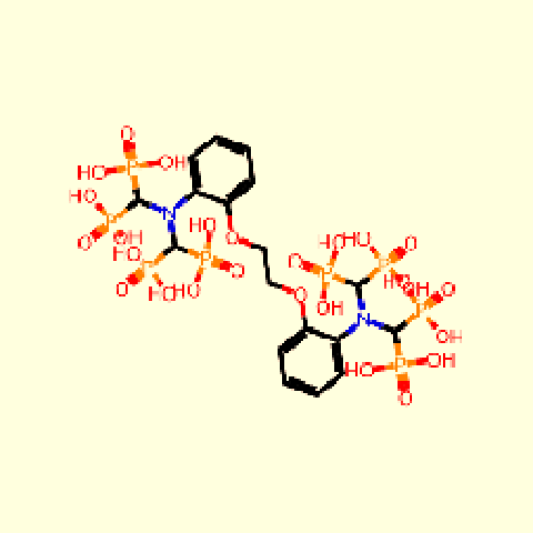 O=P(O)(O)C(N(c1ccccc1OCCOc1ccccc1N(C(P(=O)(O)O)P(=O)(O)O)C(P(=O)(O)O)P(=O)(O)O)C(P(=O)(O)O)P(=O)(O)O)P(=O)(O)O